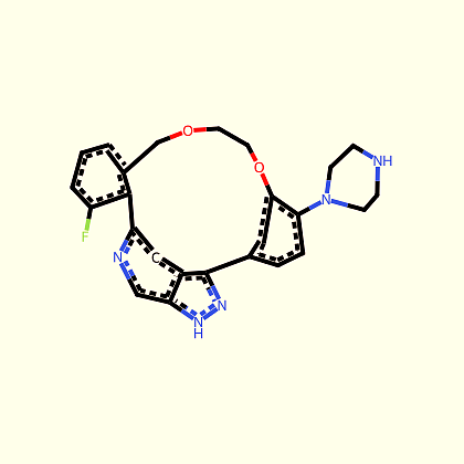 Fc1cccc2c1-c1cc3c(n[nH]c3cn1)-c1ccc(N3CCNCC3)c(c1)OCCOC2